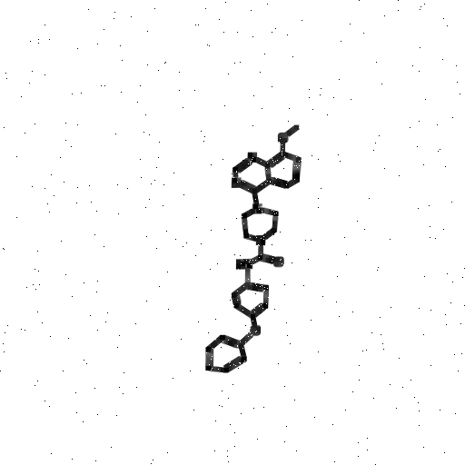 COc1cccc2c(N3CCN(C(=O)Nc4ccc(Oc5ccccc5)cc4)CC3)ncnc12